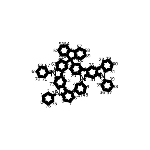 c1ccc(-n2c3ccccc3c3cc4c5cc(C6(c7ccc8c(c7)c7cc9c%10ccccc%10n(-c%10ccccc%10)c9cc7n8-c7ccccc7)c7ccccc7-c7ccccc76)ccc5n(-c5ccccc5)c4cc32)cc1